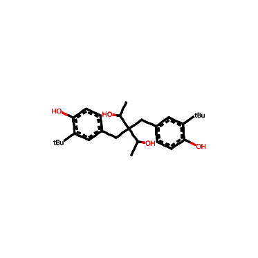 CC(O)C(Cc1ccc(O)c(C(C)(C)C)c1)(Cc1ccc(O)c(C(C)(C)C)c1)C(C)O